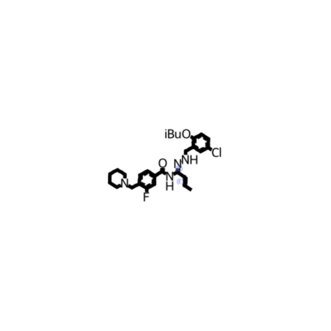 C/C=C/C(=N\NCc1cc(Cl)ccc1OCC(C)C)NC(=O)c1ccc(CN2CCCCC2)c(F)c1